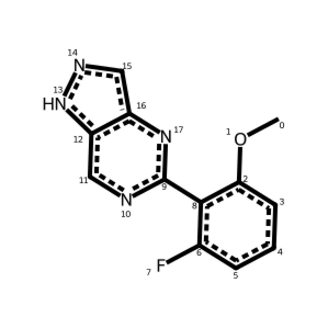 COc1cccc(F)c1-c1ncc2[nH]ncc2n1